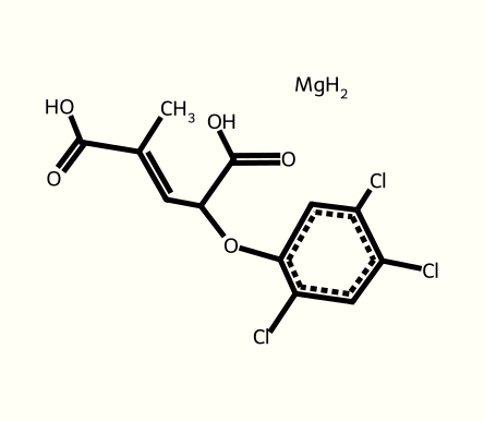 CC(=CC(Oc1cc(Cl)c(Cl)cc1Cl)C(=O)O)C(=O)O.[MgH2]